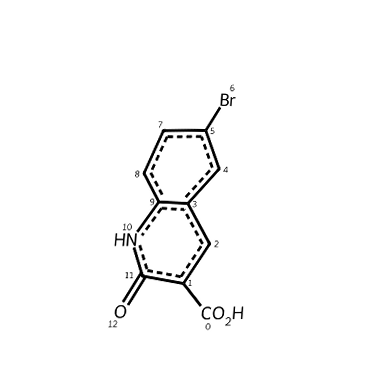 O=C(O)c1cc2cc(Br)ccc2[nH]c1=O